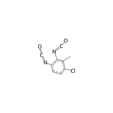 Cc1c(Cl)ccc(N=C=O)c1N=C=O